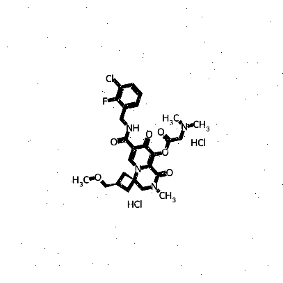 COC[C@H]1C[C@@]2(CN(C)C(=O)c3c(OC(=O)CN(C)C)c(=O)c(C(=O)NCc4cccc(Cl)c4F)cn32)C1.Cl.Cl